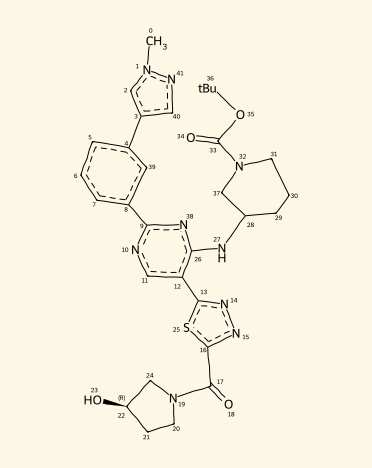 Cn1cc(-c2cccc(-c3ncc(-c4nnc(C(=O)N5CC[C@@H](O)C5)s4)c(NC4CCCN(C(=O)OC(C)(C)C)C4)n3)c2)cn1